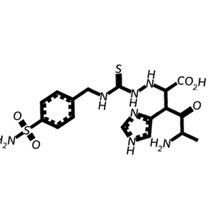 CC(N)C(=O)C(c1c[nH]cn1)C(NNC(=S)NCc1ccc(S(N)(=O)=O)cc1)C(=O)O